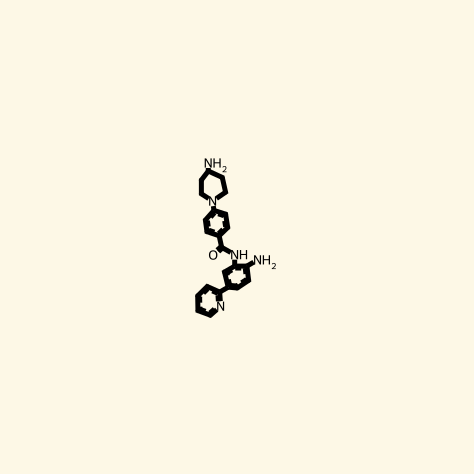 Nc1ccc(-c2ccccn2)cc1NC(=O)c1ccc(N2CCC(N)CC2)cc1